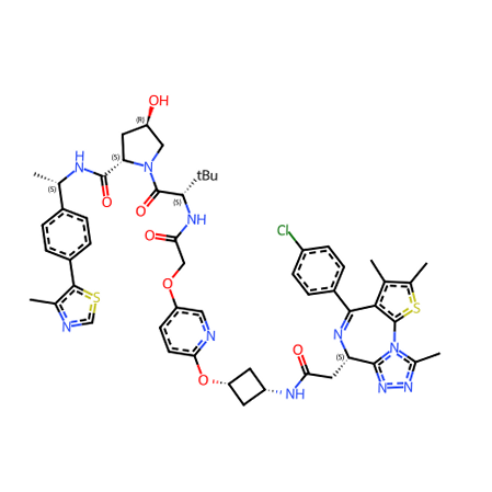 Cc1ncsc1-c1ccc([C@H](C)NC(=O)[C@@H]2C[C@@H](O)CN2C(=O)[C@@H](NC(=O)COc2ccc(O[C@H]3C[C@@H](NC(=O)C[C@@H]4N=C(c5ccc(Cl)cc5)c5c(sc(C)c5C)-n5c(C)nnc54)C3)nc2)C(C)(C)C)cc1